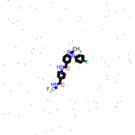 Cc1nc2ccc(C(=O)Nc3ccc(C(=O)NCC(F)(F)F)cc3)cc2n1-c1ccc(F)cc1